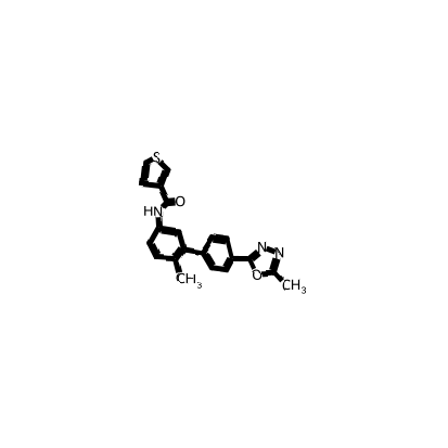 Cc1nnc(-c2ccc(-c3cc(NC(=O)c4ccsc4)ccc3C)cc2)o1